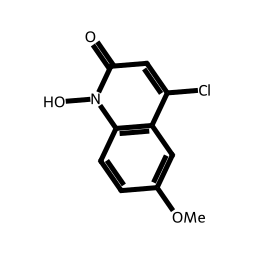 COc1ccc2c(c1)c(Cl)cc(=O)n2O